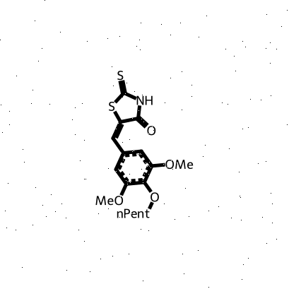 CCCCCOc1c(OC)cc(C=C2SC(=S)NC2=O)cc1OC